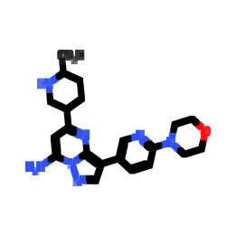 Nc1cc(C2CCC(C(=O)O)NC2)nc2c(-c3ccc(N4CCOCC4)nc3)cnn12